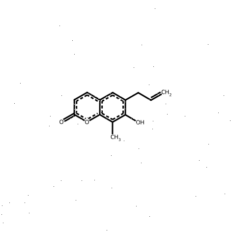 C=CCc1cc2ccc(=O)oc2c(C)c1O